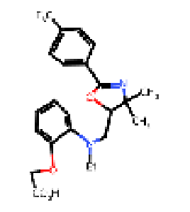 CCN(CC1OC(c2ccc(C(F)(F)F)cc2)=NC1(C)C)c1ccccc1OCC(=O)O